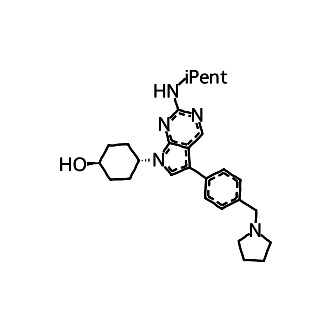 CCCC(C)Nc1ncc2c(-c3ccc(CN4CCCC4)cc3)cn([C@H]3CC[C@H](O)CC3)c2n1